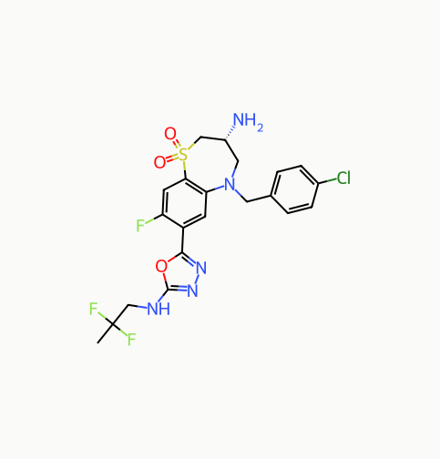 CC(F)(F)CNc1nnc(-c2cc3c(cc2F)S(=O)(=O)C[C@H](N)CN3Cc2ccc(Cl)cc2)o1